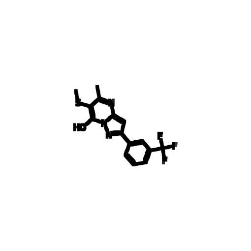 CSc1c(C)nc2cc(-c3cccc(C(F)(F)F)c3)nn2c1O